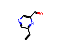 C=Cc1cncc(C=O)n1